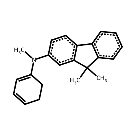 CN(C1=CC=CCC1)c1ccc2c(c1)C(C)(C)c1ccccc1-2